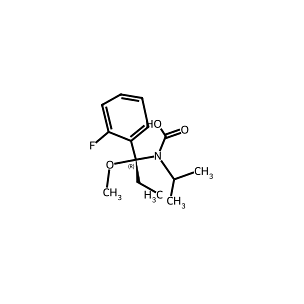 CC[C@@](OC)(c1ccccc1F)N(C(=O)O)C(C)C